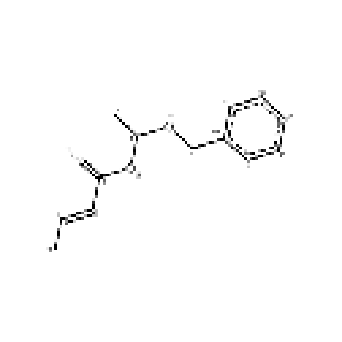 CC=CC(=O)OC(C)OCc1ccccc1